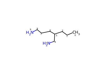 CCCC(CN)CCCN